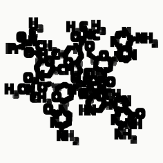 CC(C)P(=O)(OC[C@@H]1CN(P(=O)(OC[C@@H]2CN(P(=O)(OC[C@@H]3CN(P(=O)(OC[C@@H]4CN(P(=O)(OC[C@@H]5CNC[C@H](n6cnc7c(=O)[nH]c(N)nc76)O5)N(C)C)C[C@H](n5cnc6c(N)ncnc65)O4)N(C)C)C[C@H](C)O3)N(C)C)C[C@H](n3ccc(N)nc3=O)O2)N(C)C)C[C@H](C)O1)N(C)C